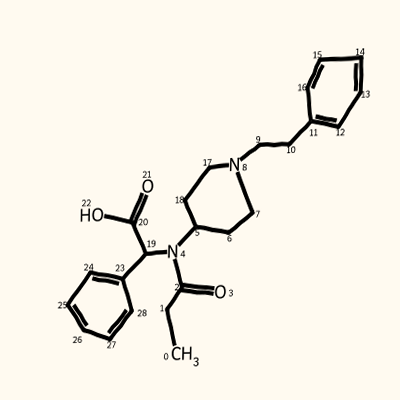 CCC(=O)N(C1CCN(CCc2ccccc2)CC1)C(C(=O)O)c1ccccc1